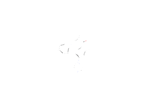 Cc1c(F)c(N2CCNC(C)C2)cc2c1c(=O)c(C(=O)O)cn2-c1ccc(F)cc1F